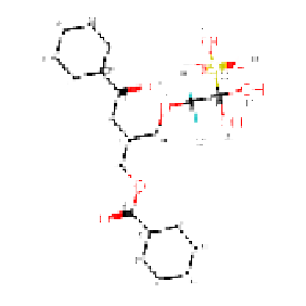 O=C(CC(COC(=O)C1CCCCC1)COC(F)(F)C(O)(O)S(=O)(=O)O)C1CCCCC1